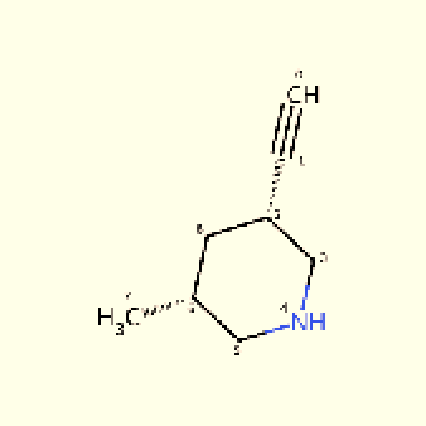 C#C[C@@H]1CNC[C@H](C)C1